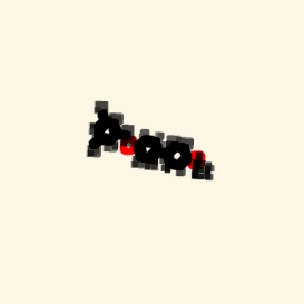 CCOC1CCC(c2ccc(OCc3cc(C)cc(C)c3)cc2)CC1